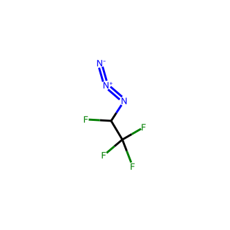 [N-]=[N+]=NC(F)C(F)(F)F